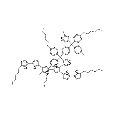 CCCCCCc1ccc(C2(c3ccc(C)cc3)c3cc4c(cc3-c3sc(C)cc32)C(c2ccc(CCCCCC)cc2)(c2ccc(CCCCCC)cc2)c2c(-c3sc(-c5cc(-c6ccc(-c7ccc(CCCCCC)s7)s6)c(C)s5)cc3-c3ccc(-c5ccc(CCCCCC)s5)s3)csc2-4)cc1